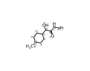 CC(C)NC(=O)C(O)C1CCN(C)CC1